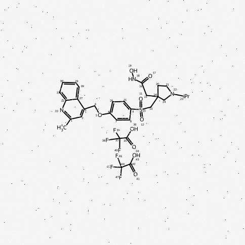 Cc1cc(COc2ccc(S(=O)(=O)CC3(CC(=O)NO)CCN(C(C)C)C3)cc2)c2ccccc2n1.O=C(O)C(F)(F)F.O=C(O)C(F)(F)F